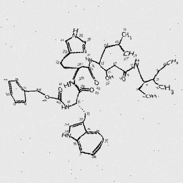 CCC(C)[C@@H](CO)NC(=O)CC(O)C(CC(C)C)NC(=O)[C@H](Cc1c[nH]cn1)NC(=O)[C@H](Cc1c[nH]c2ccccc12)NC(=O)OCc1ccccc1